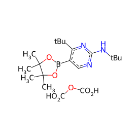 CC(C)(C)Nc1ncc(B2OC(C)(C)C(C)(C)O2)c(C(C)(C)C)n1.O=C(O)OC(=O)O